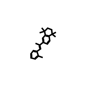 C/C(=C\c1ccccc1C)c1ccc2c(c1)C(C)(C)CCC2(C)C